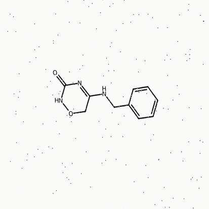 O=C1N=C(NCc2ccccc2)CON1